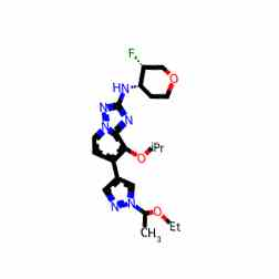 CCOC(C)n1cc(-c2ccn3nc(N[C@H]4CCOC[C@H]4F)nc3c2OC(C)C)cn1